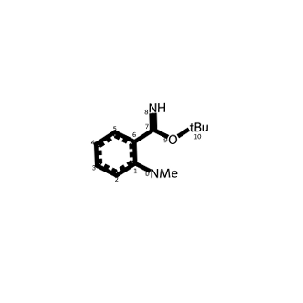 CNc1ccccc1C(=N)OC(C)(C)C